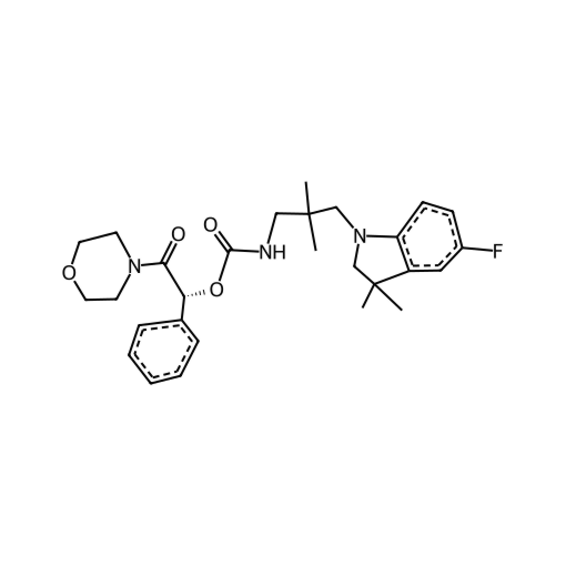 CC(C)(CNC(=O)O[C@@H](C(=O)N1CCOCC1)c1ccccc1)CN1CC(C)(C)c2cc(F)ccc21